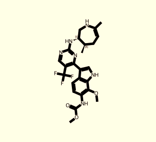 COC(=O)Nc1ccc2c(-c3nc(N[C@@H]4CNC(C)=CC[C@H]4C)ncc3C(F)(F)F)c[nH]c2c1OC